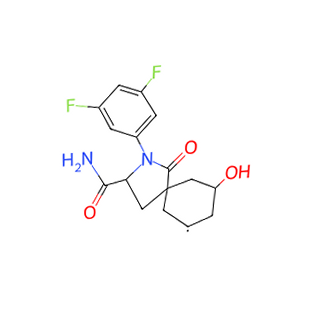 NC(=O)C1CC2(C[CH]CC(O)C2)C(=O)N1c1cc(F)cc(F)c1